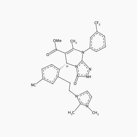 COC(=O)C1=C(C)N(c2cccc(C(F)(F)F)c2)c2n[nH]c(=O)n2[C@@H]1c1ccc(C#N)cc1CC[n+]1ccn(C)c1C